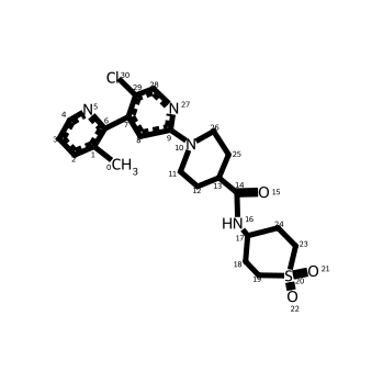 Cc1cccnc1-c1cc(N2CCC(C(=O)NC3CCS(=O)(=O)CC3)CC2)ncc1Cl